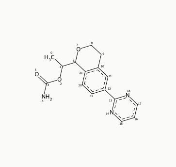 CC(OC(N)=O)C1OCCc2cc(-c3ncccn3)ccc21